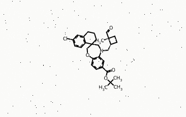 CC(C)(C)OC(=O)c1ccc2c(c1)N(C[C@@H]1CC[C@@]1(C)C=O)CC1(CCCc3cc(Cl)ccc31)CO2